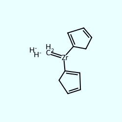 [CH2]=[Zr]([C]1=CC=CC1)[C]1=CC=CC1.[H-].[H-]